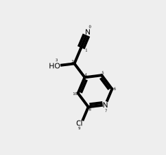 N#CC(O)c1ccnc(Cl)c1